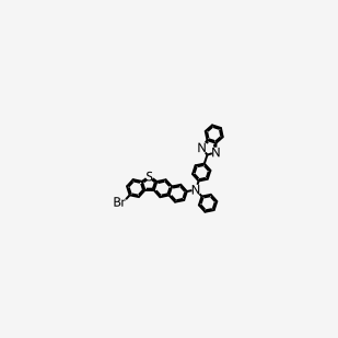 Brc1ccc2sc3cc4cc(N(c5ccccc5)c5ccc(C6N=c7ccccc7=N6)cc5)ccc4cc3c2c1